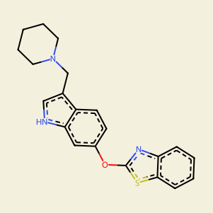 c1ccc2sc(Oc3ccc4c(CN5CCCCC5)c[nH]c4c3)nc2c1